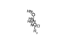 Cc1ccc(N=C(NC#N)NCc2ccc3c(c2)CNC3)cc1Cl